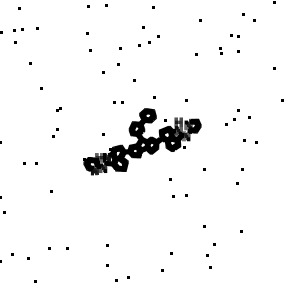 c1ccc(-c2cccc(C3c4cc(-c5ccc6c7c(cccc57)/C(=N/c5ccccn5)N6)ccc4-c4ccc(-c5ccc6c7c(cccc57)/C(=N/c5ccccn5)N6)cc43)c2)cc1